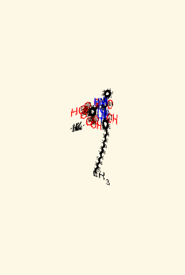 CCCCCCCCCCCCCCCc1ccc(N=Nc2c(NC(=O)c3cc(S(=O)(=O)O)cc(S(=O)(=O)O)c3)[nH]n(-c3ccccc3)c2=O)c(O)c1.[K].[K]